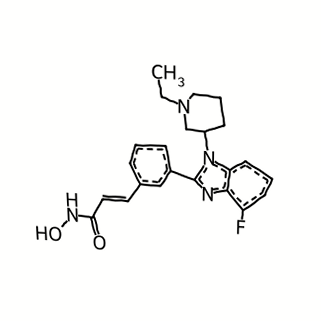 CCN1CCCC(n2c(-c3cccc(C=CC(=O)NO)c3)nc3c(F)cccc32)C1